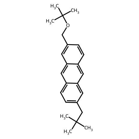 CC(C)(C)Cc1ccc2cc3cc(COC(C)(C)C)ccc3cc2c1